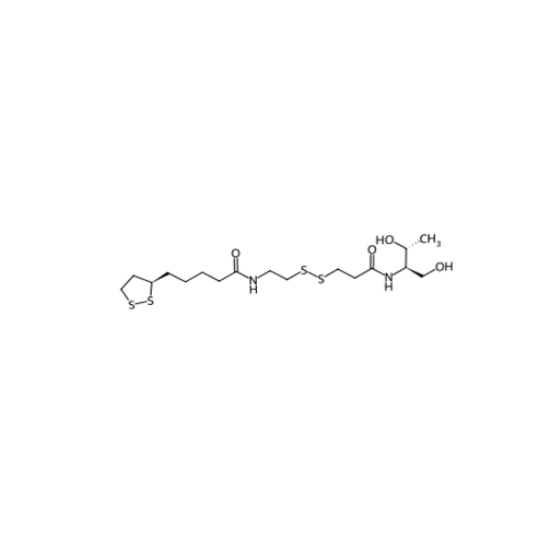 C[C@@H](O)[C@@H](CO)NC(=O)CCSSCCNC(=O)CCCC[C@@H]1CCSS1